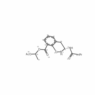 CCCC(=O)N[C@@H]1BOc2c(cccc2C(=O)OC(C)OC(C)=O)C1